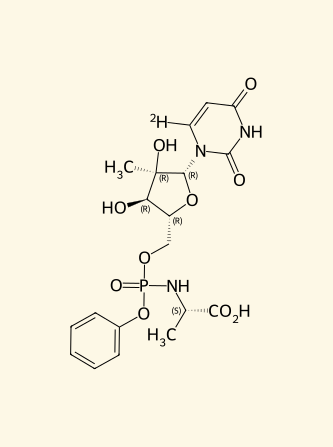 [2H]c1cc(=O)[nH]c(=O)n1[C@@H]1O[C@H](COP(=O)(N[C@@H](C)C(=O)O)Oc2ccccc2)[C@@H](O)[C@@]1(C)O